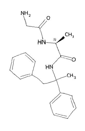 C[C@H](NC(=O)CN)C(=O)NC(C)(Cc1ccccc1)c1ccccc1